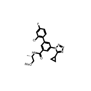 COC[C@H](C)NC(=O)c1cc(-c2ccc(F)cc2Cl)cc(-n2nnnc2C2CC2)c1